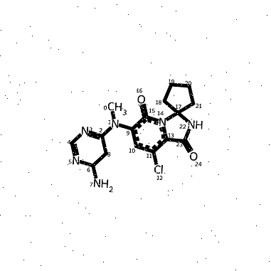 CN(C1=NC=NC(N)C1)c1cc(Cl)c2n(c1=O)C1(CCCC1)NC2=O